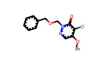 CC(C)Oc1cnn(COCc2ccccc2)c(=O)c1Cl